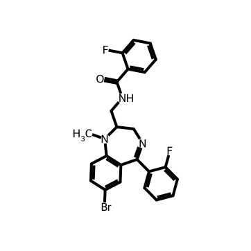 CN1c2ccc(Br)cc2C(c2ccccc2F)=NCC1CNC(=O)c1ccccc1F